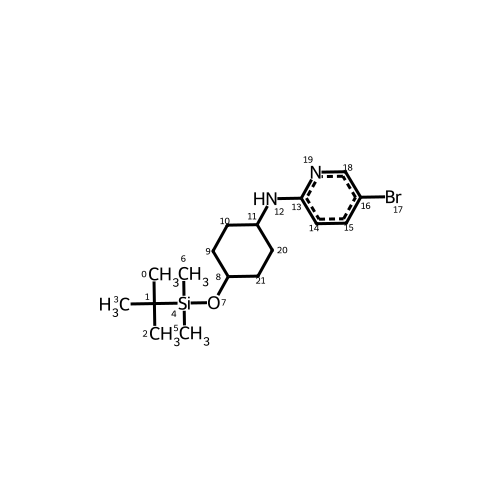 CC(C)(C)[Si](C)(C)OC1CCC(Nc2ccc(Br)cn2)CC1